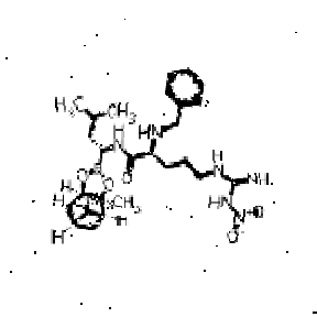 CC(C)C[C@H](NC(=O)[C@H](CCCNC(=N)N[N+](=O)[O-])NCc1ccccc1)B1O[C@@H]2C[C@@H]3C[C@@H](C3(C)C)[C@]2(C)O1